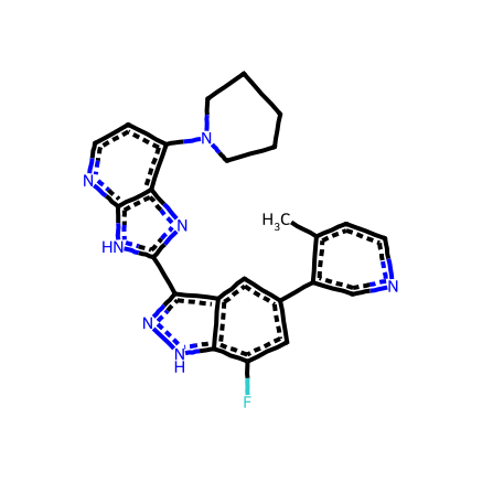 Cc1ccncc1-c1cc(F)c2[nH]nc(-c3nc4c(N5CCCCC5)ccnc4[nH]3)c2c1